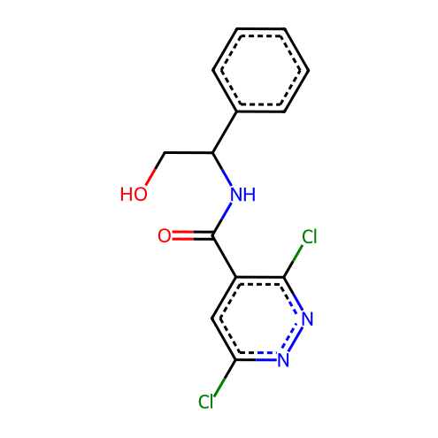 O=C(NC(CO)c1ccccc1)c1cc(Cl)nnc1Cl